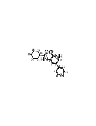 O=C(Nc1cc(-c2ccncc2)c[nH]c1=O)C1CCCCC1